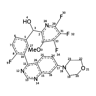 COc1c(C(O)c2ccc(F)c(-c3ncnc4cc(N5CCOCC5)ccc34)c2)nc(F)c(F)c1F